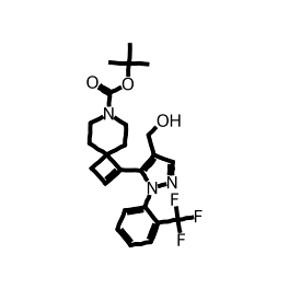 CC(C)(C)OC(=O)N1CCC2(CC=C2c2c(CO)cnn2-c2ccccc2C(F)(F)F)CC1